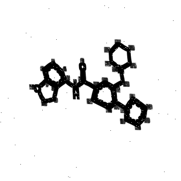 O=C(Nc1cccc2c1CCO2)c1ccc(-c2ccccc2)c(CN2CCCCC2)c1